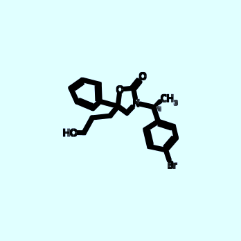 C[C@@H](c1ccc(Br)cc1)N1CC(CCCO)(c2ccccc2)OC1=O